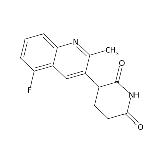 Cc1nc2cccc(F)c2cc1C1CCC(=O)NC1=O